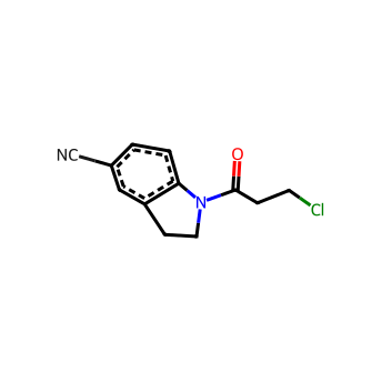 N#Cc1ccc2c(c1)CCN2C(=O)CCCl